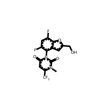 Cn1c(C(F)(F)F)cc(=O)n(-c2c(F)cc(F)c3oc(CO)cc23)c1=O